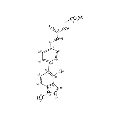 CCOC(=O)CNC(=O)NCc1ccc(-c2ccc3c(nnn3C)c2Cl)cc1